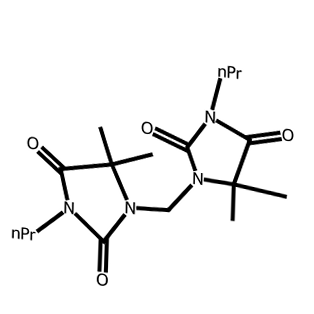 CCCN1C(=O)N(CN2C(=O)N(CCC)C(=O)C2(C)C)C(C)(C)C1=O